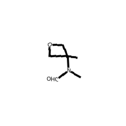 CN(C=O)C1(C)COC1